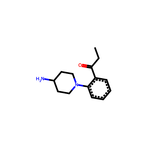 CCC(=O)c1ccccc1N1CCC(N)CC1